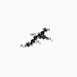 Cc1nc(C(=O)N[C@@H]2CCN(C)C2)ccc1-c1ccc(C[C@H](N)C(=O)N(c2ccc(-c3nn[nH]n3)cc2)C(=O)[C@H]2CC[C@H](CN)CC2)cc1.Cl